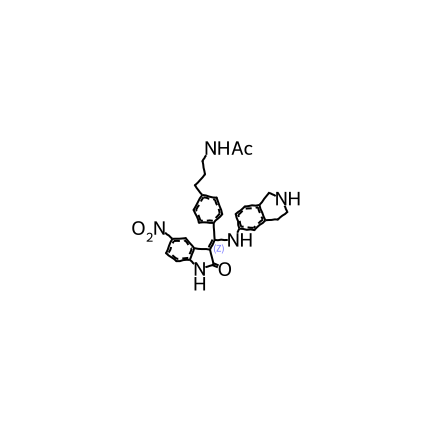 CC(=O)NCCCc1ccc(/C(Nc2ccc3c(c2)CCNC3)=C2/C(=O)Nc3ccc([N+](=O)[O-])cc32)cc1